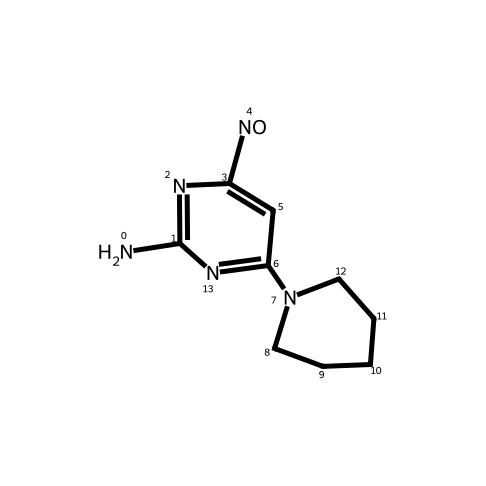 Nc1nc(N=O)cc(N2CCCCC2)n1